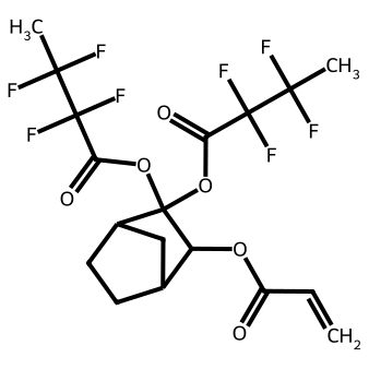 C=CC(=O)OC1C2CCC(C2)C1(OC(=O)C(F)(F)C(C)(F)F)OC(=O)C(F)(F)C(C)(F)F